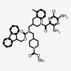 Cc1ccccc1CC(CNC(=O)c1nc(Cl)c(N)nc1N)CN(CC1CCN(C(=O)OC(C)(C)C)CC1)C(=O)OCC1c2ccccc2-c2ccccc21